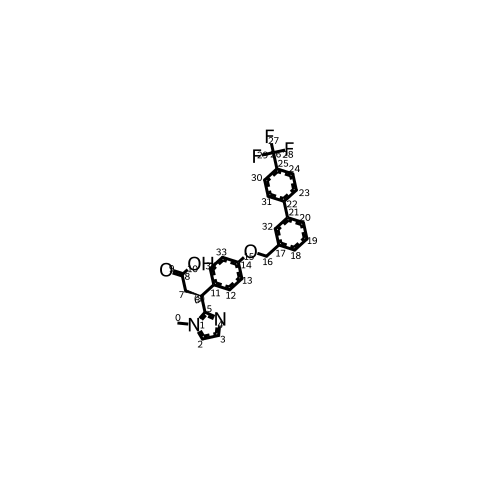 Cn1ccnc1[C@@H](CC(=O)O)c1ccc(OCc2cccc(-c3ccc(C(F)(F)F)cc3)c2)cc1